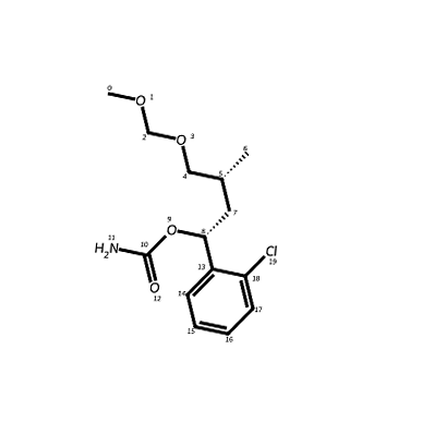 COCOC[C@H](C)C[C@@H](OC(N)=O)c1ccccc1Cl